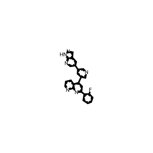 Fc1ccccc1-c1cc(-c2cncc(-c3cnc4[nH]ncc4c3)c2)c2cccnc2n1